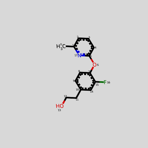 Cc1cccc(Oc2ccc(CCO)cc2F)n1